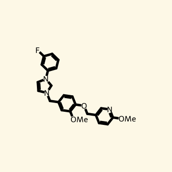 COc1ccc(COc2ccc(CN3C=CN(c4cccc(F)c4)C3)cc2OC)cn1